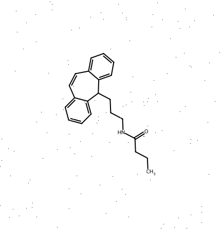 CCCC(=O)NCCCC1c2ccccc2C=Cc2ccccc21